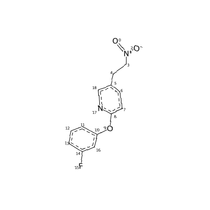 O=[N+]([O-])CCc1ccc(Oc2cccc(F)c2)nc1